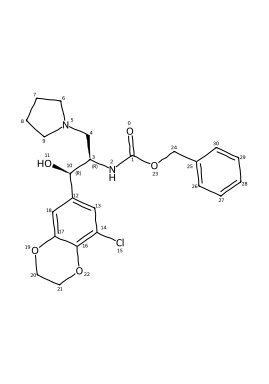 O=C(N[C@H](CN1CCCC1)[C@H](O)c1cc(Cl)c2c(c1)OCCO2)OCc1ccccc1